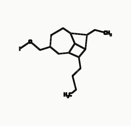 CCCCC1C2CC(COI)CCC3C(CC)C1C32